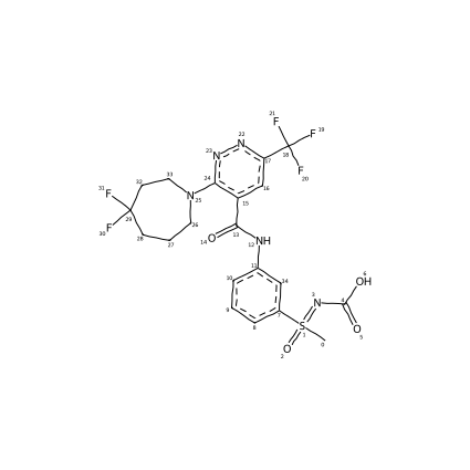 CS(=O)(=NC(=O)O)c1cccc(NC(=O)c2cc(C(F)(F)F)nnc2N2CCCC(F)(F)CC2)c1